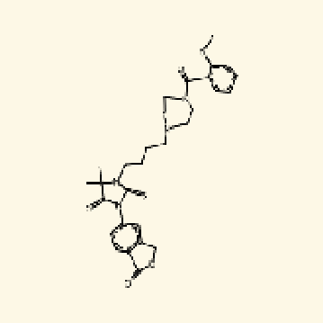 COc1ccccc1C(=O)N1CCN(CCCCN2C(=S)N(c3ccc4c(c3)COC4=O)C(=O)C2(C)C)CC1